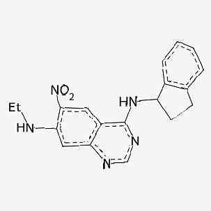 CCNc1cc2ncnc(NC3CCc4ccccc43)c2cc1[N+](=O)[O-]